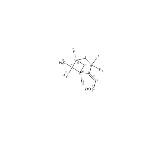 CCOC(=O)/C=C1\[C@@H]2C[C@H](CC1(F)F)C2(C)C